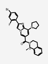 C[C@@H]1c2ccccc2CCN1C(=O)c1cc(N2CCCC2)c2nc(-c3ccc(Br)cc3F)cn2c1